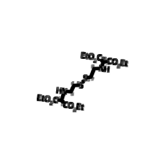 CCOC(=O)C(NCCSSCCNC(C(=O)OCC)C(=O)OCC)C(=O)OCC